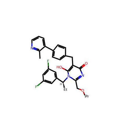 CC[C@@H](c1cc(F)cc(F)c1)n1c(COC(C)C)nc(=O)c(Cc2ccc(-c3cccnc3C)cc2)c1O